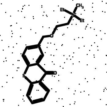 CC[N+](C)(CC)CCOCc1ccc2sc3ccccc3c(=O)c2c1